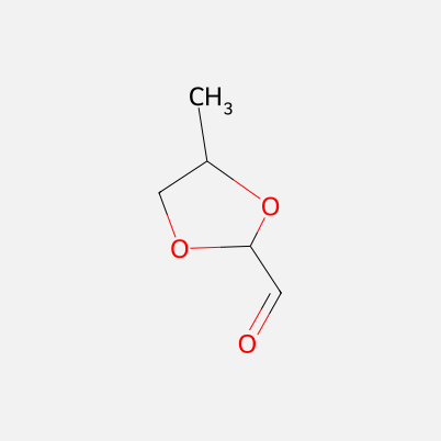 CC1COC(C=O)O1